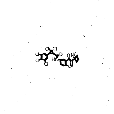 N#CC1(NC(=O)c2cc(NC(=O)C3C(c4cc(Cl)c(Cl)c(Cl)c4)C3(Cl)Cl)ccc2Cl)CCC1